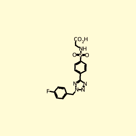 O=C(O)CNS(=O)(=O)c1ccc(-c2nnn(Cc3ccc(F)cc3)n2)cc1